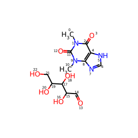 Cn1c(=O)c2[nH]cnc2n(C)c1=O.O=CC(O)C(O)C(O)CO